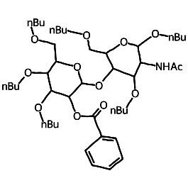 CCCCOCC1OC(OCCCC)C(NC(C)=O)C(OCCCC)C1OC1OC(COCCCC)C(OCCCC)C(OCCCC)C1OC(=O)c1ccccc1